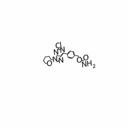 NC(=O)OCc1ccc(-c2nc(Cl)nc3c2ncn3C2CCCCO2)cc1